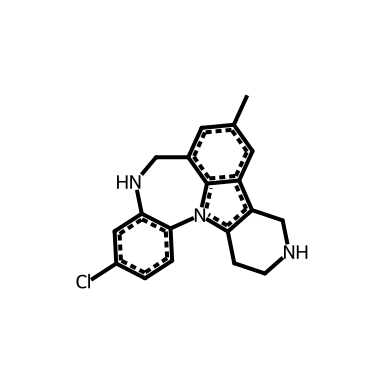 Cc1cc2c3c(c1)c1c(n3-c3ccc(Cl)cc3NC2)CCNC1